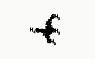 CCCCCC1CCC(c2ccc(-c3ccc(OCCCC)c(F)c3OCOCCOC)c(C(=O)OC)c2F)CC1